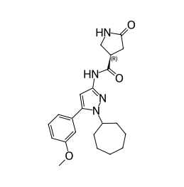 COc1cccc(-c2cc(NC(=O)[C@H]3CNC(=O)C3)nn2C2CCCCCC2)c1